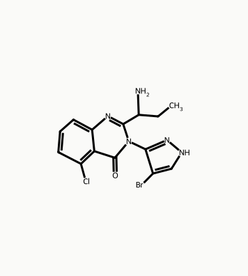 CCC(N)c1nc2cccc(Cl)c2c(=O)n1-c1n[nH]cc1Br